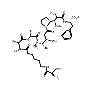 C=C(CBr)C(=O)NCCCCCC(=O)N(C)[C@H](C(=O)N[C@H](C(=O)N(C)[C@@H]([C@@H](C)CC)[C@@H](CC(=O)N1CCC[C@H]1[C@H](OC)[C@@H](C)C(=O)N[C@@H](Cc1ccccc1)C(=O)O)OC)C(C)C)C(C)C